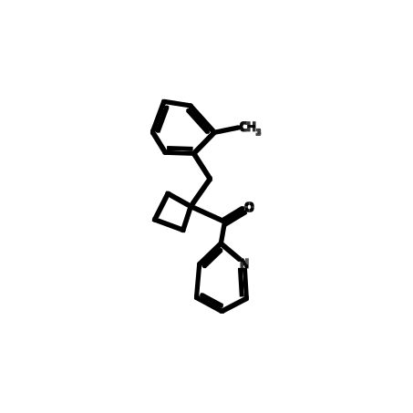 Cc1ccccc1CC1(C(=O)c2ccccn2)CCC1